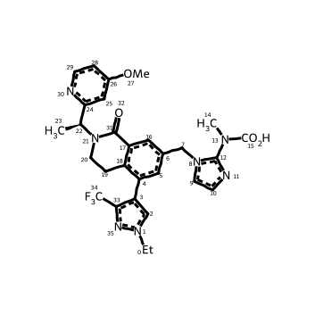 CCn1cc(-c2cc(Cn3ccnc3N(C)C(=O)O)cc3c2CCN([C@@H](C)c2cc(OC)ccn2)C3=O)c(C(F)(F)F)n1